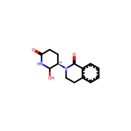 O=C1CC[C@@H](N2CCc3ccccc3C2=O)C(O)N1